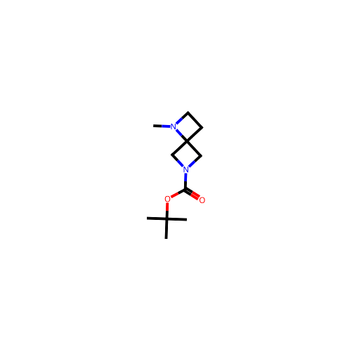 CN1CCC12CN(C(=O)OC(C)(C)C)C2